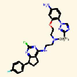 Cc1ncn(-c2ccc(N)cc2OCCN(C)CCNc2nc(Cl)nc3c2CCC3c2ccc(F)cc2)n1